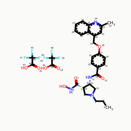 CCCN1C[C@H](C(=O)NO)[C@H](NC(=O)c2ccc(OCc3cc(C)nc4ccccc34)cc2)C1.O=C(O)C(F)(F)F.O=C(O)C(F)(F)F